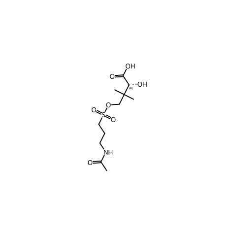 CC(=O)NCCCS(=O)(=O)OCC(C)(C)[C@@H](O)C(=O)O